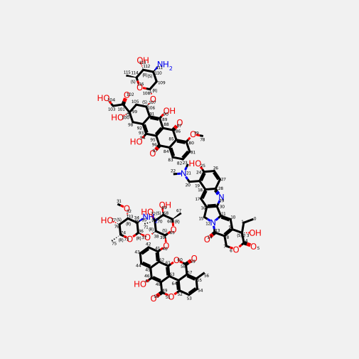 CC[C@@]1(O)C(=O)OCc2c1cc1n(c2=O)Cc2cc3c(CN(C)C)c(O)ccc3nc2-1.CO[C@@H]1[C@@H](N)[C@@H](O[C@H]2[C@H](Oc3cccc4c(O)c5c(=O)oc6ccc(C)c7c(=O)oc(c34)c5c67)O[C@H](C)[C@H](O)[C@]2(C)O)O[C@H](C)[C@@H]1O.COc1cccc2c1C(=O)c1c(O)c3c(c(O)c1C2=O)C[C@@](O)(C(=O)CO)C[C@@H]3O[C@H]1C[C@H](N)[C@@H](O)[C@H](C)O1